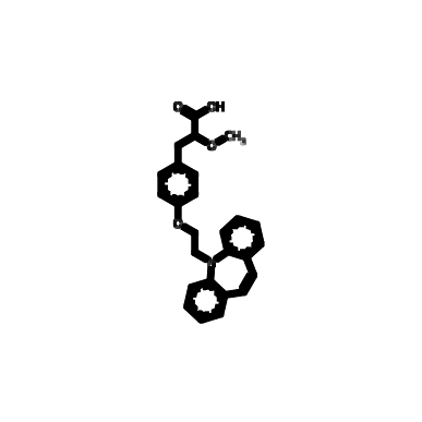 COC(Cc1ccc(OCCN2c3ccccc3C=Cc3ccccc32)cc1)C(=O)O